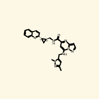 Cc1cc(CNc2cc(C(=O)NC[C@H]3C[C@@H]3c3ccc4ccccc4n3)nc3ccnn23)n(C)n1